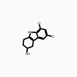 OC1CCc2[nH]c3c(Cl)cc(Cl)cc3c2C1